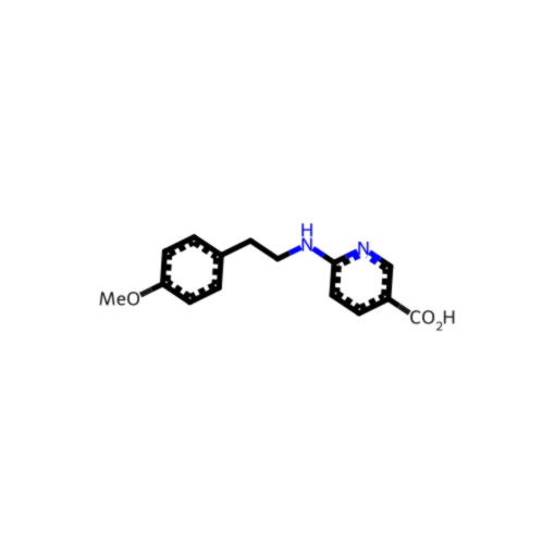 COc1ccc(CCNc2ccc(C(=O)O)cn2)cc1